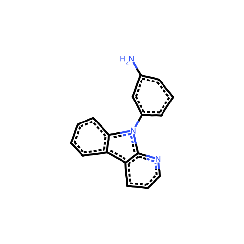 Nc1cccc(-n2c3ccccc3c3cccnc32)c1